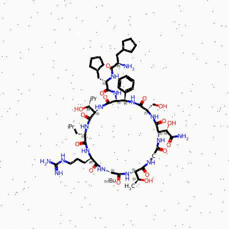 CC[C@H](C)[C@@H]1NC(=O)[C@@H](CCCNC(=N)N)NC(=O)[C@H](CC(C)C)NC(=O)[C@H]([C@H](O)C(C)C)NC(=O)[C@@H](NC(=O)[C@H](CC2CCCC2)NC(=O)[C@H](N)CC2CCCC2)[C@@H](c2ccccc2)NC(=O)[C@H](CO)NC(=O)[C@H]([C@H](O)C(N)=O)NC(=O)CNC(=O)[C@H]([C@H](C)O)NC1=O